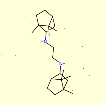 CC12CCC(C(NCCNC3CC4CCC3(C)C4(C)C)C1)C2(C)C